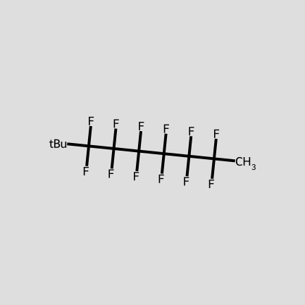 CC(C)(C)C(F)(F)C(F)(F)C(F)(F)C(F)(F)C(F)(F)C(C)(F)F